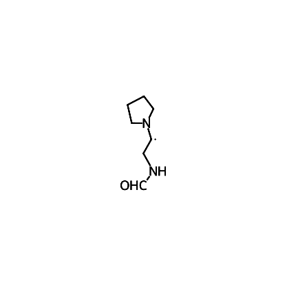 O=CNC[CH]N1CCCC1